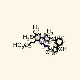 C=CC(=C)/N=C(C(\CCCCC(=O)O)=N/C/C=C/C(=O)N1CCC(O)(C2=CCC=CC=C2)C1)/C(/C=C\CCl)=C/C